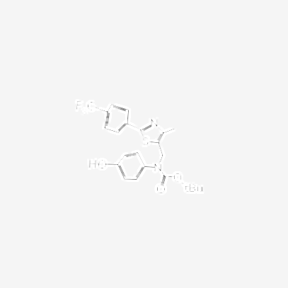 Cc1nc(-c2ccc(C(F)(F)F)cc2)sc1CN(C(=O)OC(C)(C)C)c1ccc(O)cc1